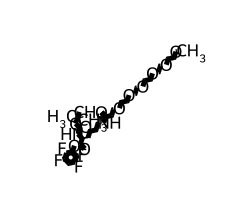 COCCOCCOCCOCCOCCOCCC(=O)NCCCC[C@H](NC(=O)OC(C)(C)C)C(=O)Oc1c(F)c(F)cc(F)c1F